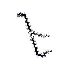 CCCCC/C=C\C/C=C\CCCCCCCCOC(COCCCCCCCC/C=C\C/C=C\CCC(C)CC)CSSCCNC